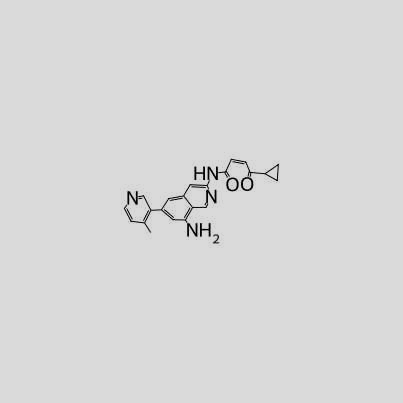 Cc1ccncc1-c1cc(N)c2cnc(NC(=O)/C=C\C(=O)C3CC3)cc2c1